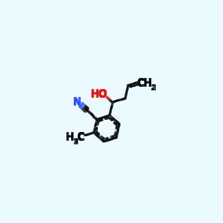 C=CCC(O)c1cccc(C)c1C#N